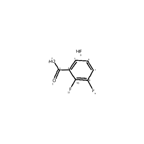 F.O=C(O)c1cccc(F)c1F